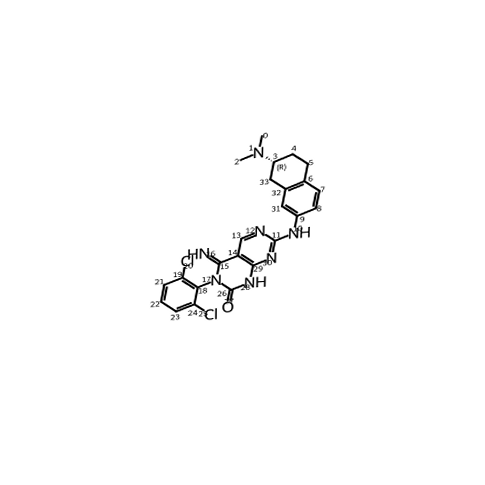 CN(C)[C@@H]1CCc2ccc(Nc3ncc4c(=N)n(-c5c(Cl)cccc5Cl)c(=O)[nH]c4n3)cc2C1